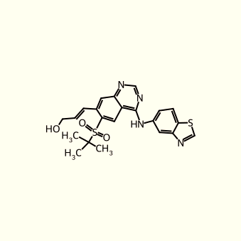 CC(C)(C)S(=O)(=O)c1cc2c(Nc3ccc4scnc4c3)ncnc2cc1/C=C/CO